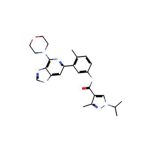 Cc1ccc(NC(=O)c2cn(C(C)C)nc2C)cc1-c1cc2[nH]cnc2c(N2CCOCC2)n1